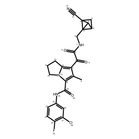 Cc1c(C(=O)C(=O)NCC2C3CC2(C#N)C3)c2n(c1C(=O)Nc1ccc(F)c(Cl)c1)CCC2